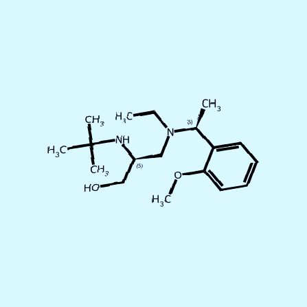 CCN(C[C@@H](CO)NC(C)(C)C)[C@@H](C)c1ccccc1OC